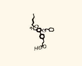 CCCCCC(=O)N(C)Cc1ccc(OCC2CCCCC2)c(-c2ccc(CCC(=O)O)cc2)c1